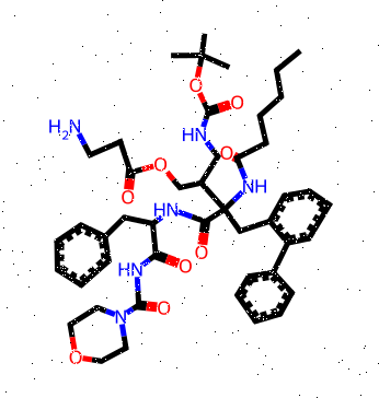 CCCCCC(=O)NC(Cc1ccccc1-c1ccccc1)(C(=O)NC(Cc1ccccc1)C(=O)NC(=O)N1CCOCC1)C(CNC(=O)OC(C)(C)C)COC(=O)CCN